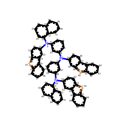 c1cc(N(c2cccc(N(c3ccc4sc5ccccc5c4c3)c3cccc4ccccc34)c2)c2ccc3c(c2)sc2ccccc23)cc(N(c2ccc3sc4ccccc4c3c2)c2cccc3ccccc23)c1